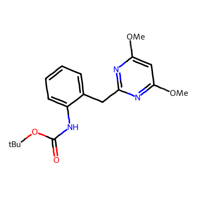 COc1cc(OC)nc(Cc2ccccc2NC(=O)OC(C)(C)C)n1